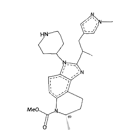 COC(=O)N1c2ccc3c(nc(C(C)Cc4cnn(C)c4)n3C3CCNCC3)c2CC[C@@H]1C